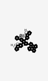 C[SiH]1c2ccccc2-c2cc3c(-c4ccc5c(c4)C(C)(C)c4ccccc4-5)c4ccc(-c5ccc6c(c5)C5(c7ccccc7-c7ccccc75)c5ccccc5-6)cc4c(-c4ccc5c(c4)C(C)(C)c4ccccc4-5)c3cc21